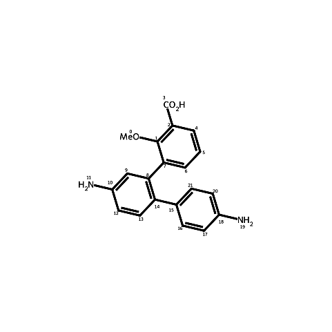 COc1c(C(=O)O)cccc1-c1cc(N)ccc1-c1ccc(N)cc1